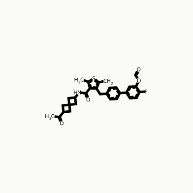 CC(=O)C1CC2(CC(NC(=O)c3c(C)sc(C)c3Cc3ccc(-c4ccc(F)c(OC=O)c4)cc3)C2)C1